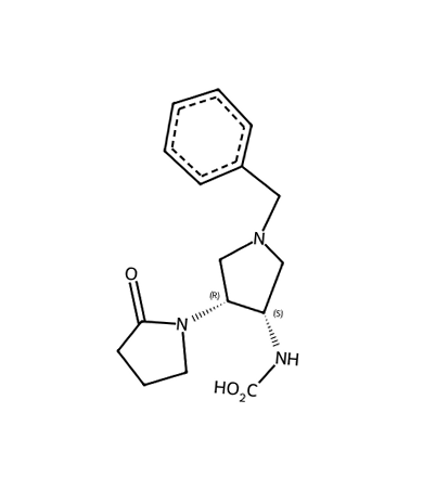 O=C(O)N[C@H]1CN(Cc2ccccc2)C[C@H]1N1CCCC1=O